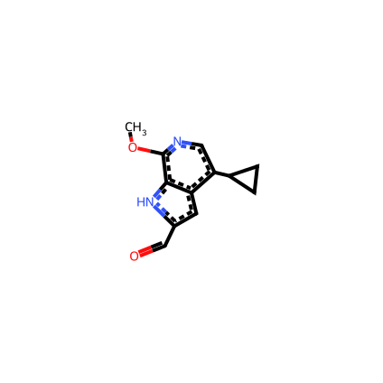 COc1ncc(C2CC2)c2cc(C=O)[nH]c12